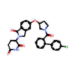 O=C1CCC(N2Cc3cc(OC4CCN(C(=O)c5ccccc5-c5ccc(Cl)cc5)C4)ccc3C2=O)C(=O)N1